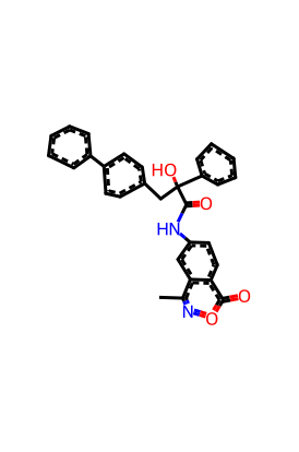 Cc1noc(=O)c2ccc(NC(=O)C(O)(Cc3ccc(-c4ccccc4)cc3)c3ccccc3)cc12